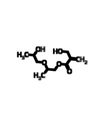 C=C(CO)C(=O)OCC(C)OCC(C)O